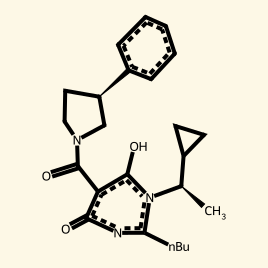 CCCCc1nc(=O)c(C(=O)N2CC[C@@H](c3ccccc3)C2)c(O)n1[C@H](C)C1CC1